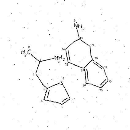 CC(N)Cc1cccs1.NC1C=Cc2ccccc2C1